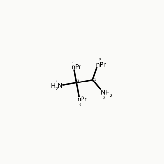 CCCC(N)C(N)(CCC)CCC